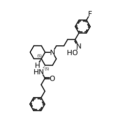 O=C(CCc1ccccc1)N[C@H]1CCN(CCCC(=NO)c2ccc(F)cc2)C2CCCC[C@H]21